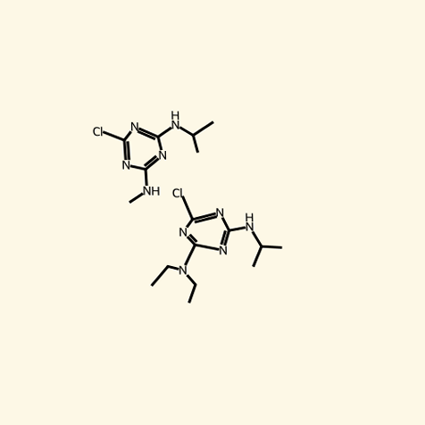 CCN(CC)c1nc(Cl)nc(NC(C)C)n1.CNc1nc(Cl)nc(NC(C)C)n1